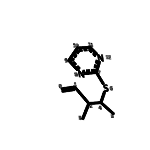 C=CC(C)C(C)Sc1ncccn1